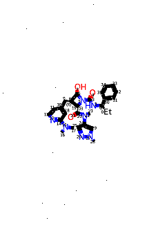 CC[C@@H](NC(=O)N1C(O)[C@H](Cc2ccnc(N(C)C)c2)[C@H]1C(=O)N(C)c1cnn(C)c1)c1ccccc1